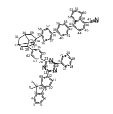 CC1(C)c2ccccc2-c2ccc(-c3nc(-c4ccccc4)nc(-c4ccc(C56CC7CC(CC(c8ccc(-c9ccc(-c%10ccc(C#N)c%11ccccc%10%11)cc9)cc8)(C7)C5)C6)cc4)n3)cc21